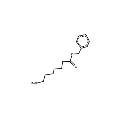 CNCCCCCCC(=O)OCc1ccccc1